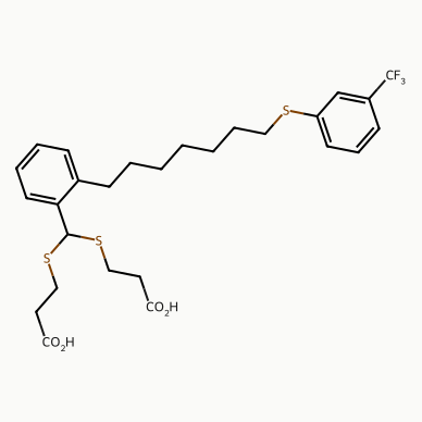 O=C(O)CCSC(SCCC(=O)O)c1ccccc1CCCCCCCSc1cccc(C(F)(F)F)c1